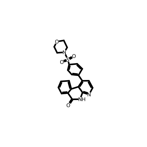 O=c1[nH]c2nccc(-c3ccc(S(=O)(=O)N4CCOCC4)cc3)c2c2ccccc12